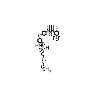 COCCOCCOCC(=O)Nc1nc2cc(Oc3ccc(NC(=O)Nc4cc(C(F)(F)F)ccc4F)cc3)ccc2[nH]1